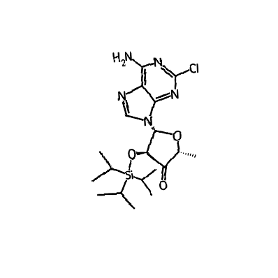 CC(C)[Si](O[C@@H]1C(=O)[C@@H](C)O[C@H]1n1cnc2c(N)nc(Cl)nc21)(C(C)C)C(C)C